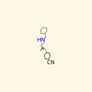 C[C@@H](CCNCC1CCCCC1)Cc1ccc(C#N)cc1